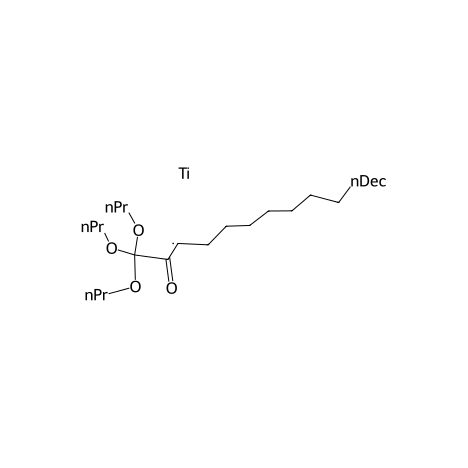 CCCCCCCCCCCCCCCCC[CH]C(=O)C(OCCC)(OCCC)OCCC.[Ti]